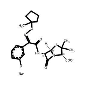 CC1(O/N=C(\C(=O)N[C@H]2C(=O)N3[C@@H]2SC(C)(C)[C@@H]3C(=O)[O-])c2cccc(F)c2)CCCC1.[Na+]